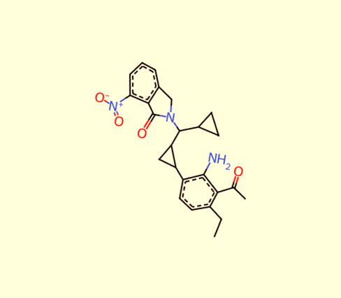 CCc1ccc(C2CC2C(C2CC2)N2Cc3cccc([N+](=O)[O-])c3C2=O)c(N)c1C(C)=O